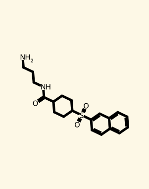 NCCCNC(=O)C1CCC(S(=O)(=O)c2ccc3ccccc3c2)CC1